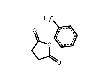 Cc1ccccc1.O=C1CCC(=O)O1